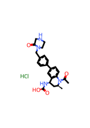 CC(=O)N1c2ccc(-c3ccc(CN4CCNCC4=O)cc3)cc2[C@H](NC(=O)O)C[C@@H]1C.Cl